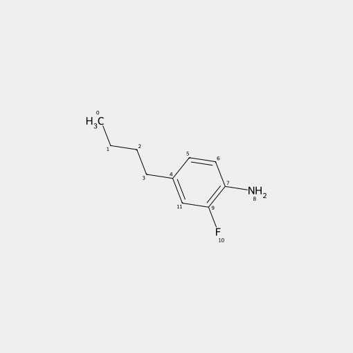 CCCCc1ccc(N)c(F)c1